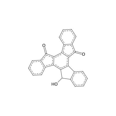 O=c1c2ccccc2c2c1c1c(c3c4ccccc4c(=O)c32)C(O)c2ccccc2-1